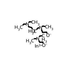 CCN(CC)CC[O-].CCN(CC)CC[O-].CCN(CC)CC[O-].[In+3]